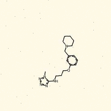 Cn1nnnc1NCCCOc1cccc(CN2CCCCC2)c1